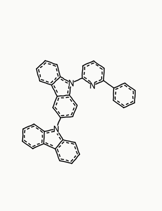 c1ccc(-c2cccc(-n3c4ccccc4c4cc(-n5c6ccccc6c6ccccc65)ccc43)n2)cc1